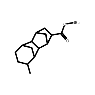 CC1CCC2CC1C1C3CC(CC3C(=O)OC(C)(C)C)C21